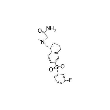 CN(CC(N)=O)C[C@@H]1CCCc2cc(S(=O)(=O)c3cccc(F)c3)ccc21